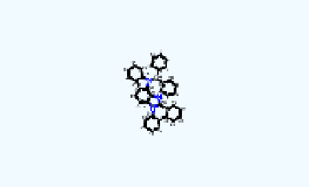 c1ccc(B(c2ccccc2)n2c3ccccc3c3ccc4c(nc5c6ccccc6c6ccccc6n45)c32)cc1